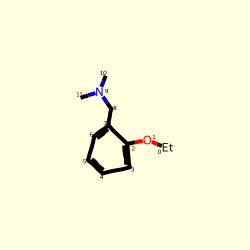 CCOc1ccccc1CN(C)C